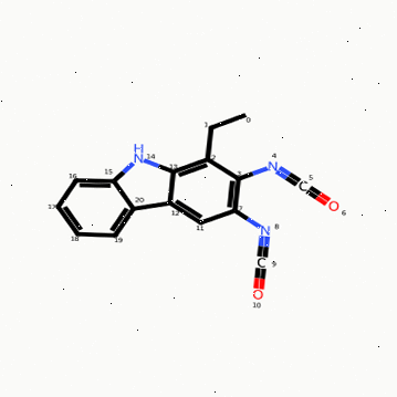 CCc1c(N=C=O)c(N=C=O)cc2c1[nH]c1ccccc12